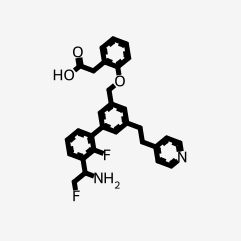 NC(CF)c1cccc(-c2cc(CCc3ccncc3)cc(COc3ccccc3CC(=O)O)c2)c1F